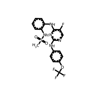 CS(=O)(=O)Nc1ccccc1Nc1nc(Nc2ccc(OC(F)(F)F)cc2)ncc1F